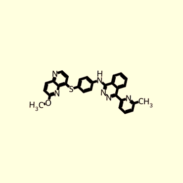 COc1ccc2nccc(Sc3ccc(Nc4nnc(-c5cccc(C)n5)c5ccccc45)cc3)c2n1